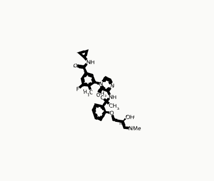 CNC[C@H](O)COc1ccccc1C(C)(C)Nc1nccn(-c2cc(C(=O)NC3CC3)cc(F)c2C)c1=O